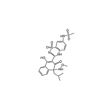 CONC1(CC(C)C)C(=O)C(C2=NS(=O)(=O)c3cc(NS(C)(=O)=O)ccc3N2)=C(O)c2ccccc21